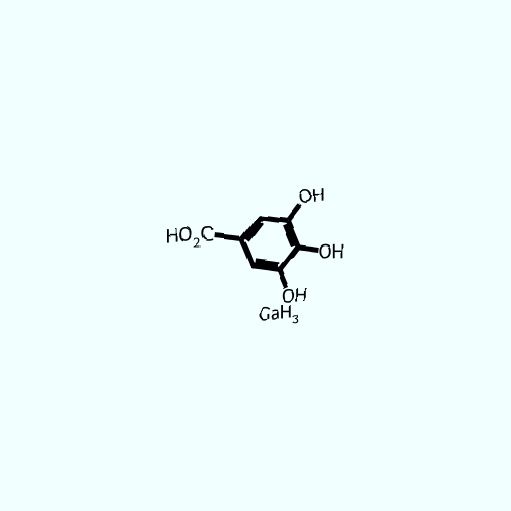 O=C(O)c1cc(O)c(O)c(O)c1.[GaH3]